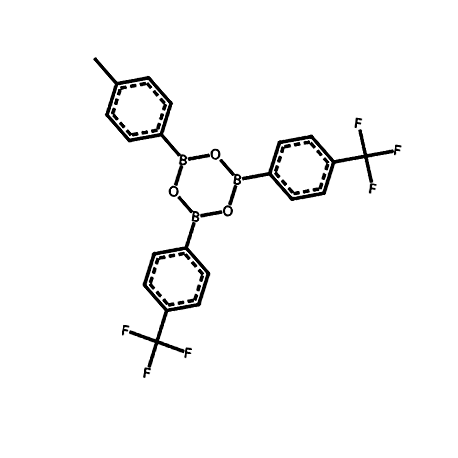 Cc1ccc(B2OB(c3ccc(C(F)(F)F)cc3)OB(c3ccc(C(F)(F)F)cc3)O2)cc1